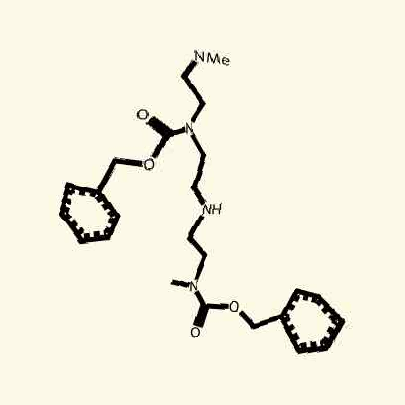 CNCCN(CCNCCN(C)C(=O)OCc1ccccc1)C(=O)OCc1ccccc1